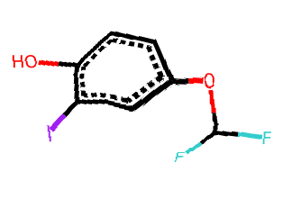 Oc1ccc(OC(F)F)cc1I